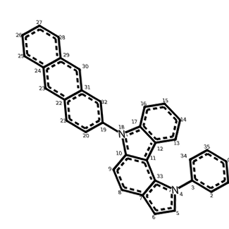 c1ccc(-n2ccc3ccc4c(c5ccccc5n4-c4ccc5cc6ccccc6cc5c4)c32)cc1